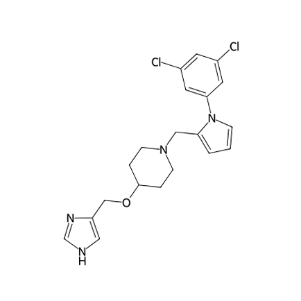 Clc1cc(Cl)cc(-n2cccc2CN2CCC(OCc3c[nH]cn3)CC2)c1